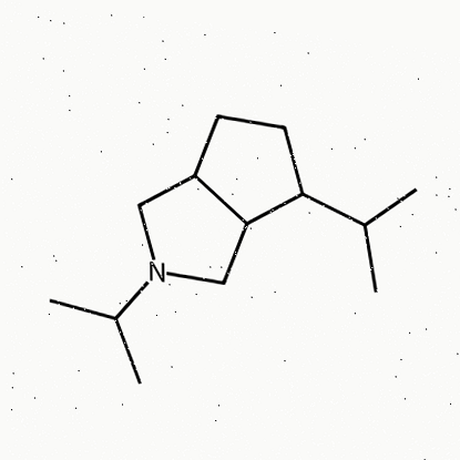 CC(C)C1CCC2CN(C(C)C)CC21